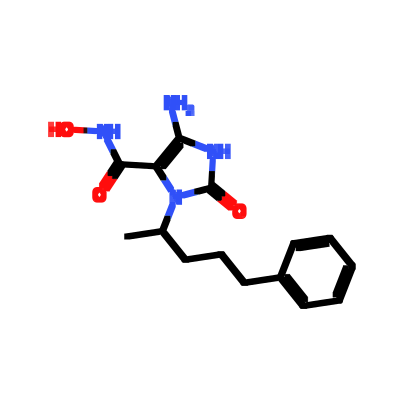 CC(CCCc1ccccc1)n1c(C(=O)NO)c(N)[nH]c1=O